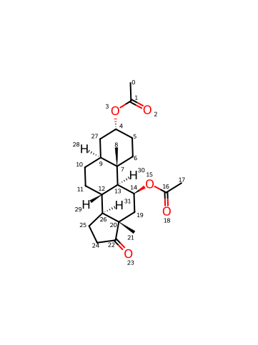 CC(=O)O[C@@H]1CC[C@@]2(C)[C@@H](CC[C@@H]3[C@@H]2[C@@H](OC(C)=O)C[C@]2(C)C(=O)CC[C@@H]32)C1